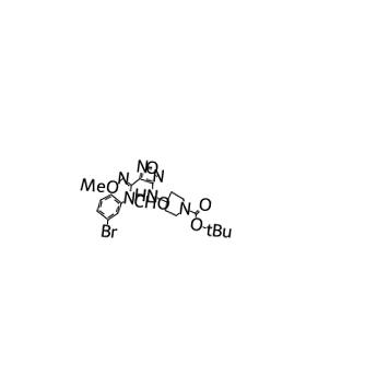 CO/N=C(/c1nonc1NC1CCN(C(=O)OC(C)(C)C)CC1)N(C=O)c1cccc(Br)c1